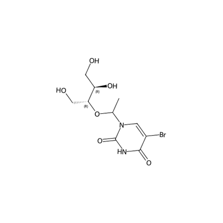 CC(O[C@H](CO)[C@H](O)CO)n1cc(Br)c(=O)[nH]c1=O